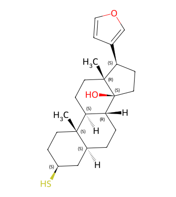 C[C@]12CC[C@H](S)C[C@@H]1CC[C@@H]1[C@@H]2CC[C@]2(C)[C@@H](c3ccoc3)CC[C@]12O